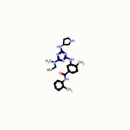 Cc1ccccc1NC(=O)c1ccc(C)c(Nc2nc(N[C@H]3CCNC3)nc(N(C)CC(C)(C)C)n2)c1